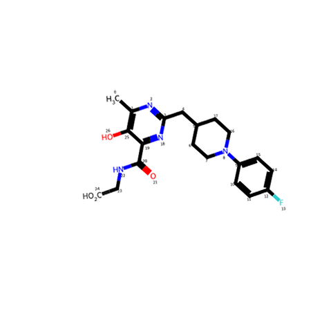 Cc1nc(CC2CCN(c3ccc(F)cc3)CC2)nc(C(=O)NCC(=O)O)c1O